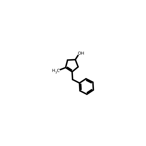 CC1=C(Cc2ccccc2)CC(O)C1